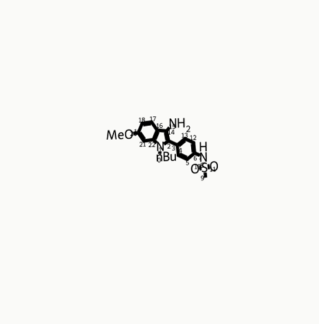 CCCCn1c(-c2ccc(NS(C)(=O)=O)cc2)c(N)c2ccc(OC)cc21